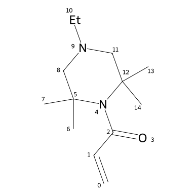 C=CC(=O)N1C(C)(C)CN(CC)CC1(C)C